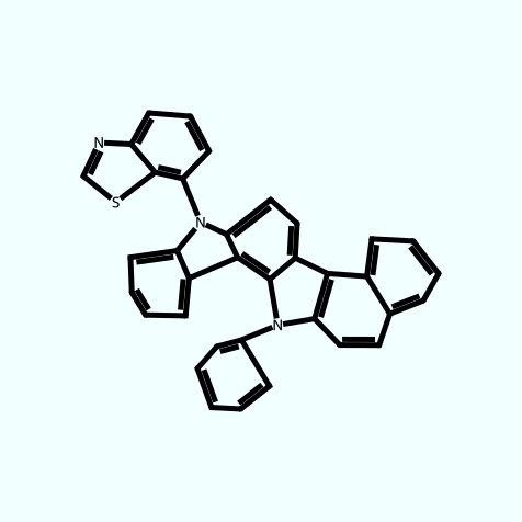 c1ccc(-n2c3ccc4ccccc4c3c3ccc4c(c5ccccc5n4-c4cccc5ncsc45)c32)cc1